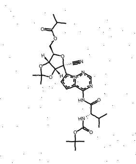 CC(C)C(=O)OC[C@H]1O[C@@](C#N)(c2ccc3c(NC(=O)[C@@H](NC(=O)OC(C)(C)C)C(C)C)ncnn23)[C@@H]2OC(C)(C)O[C@@H]21